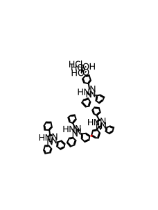 Cl.O=P(O)(O)O.c1ccc(C2=NN(c3ccccc3)N(c3ccccc3)N2)cc1.c1ccc(C2=NN(c3ccccc3)N(c3ccccc3)N2)cc1.c1ccc(C2=NN(c3ccccc3)N(c3ccccc3)N2)cc1.c1ccc(C2=NN(c3ccccc3)N(c3ccccc3)N2)cc1